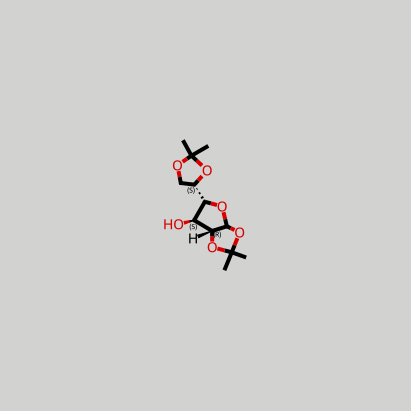 CC1(C)OC[C@@H](C2OC3OC(C)(C)O[C@@H]3[C@H]2O)O1